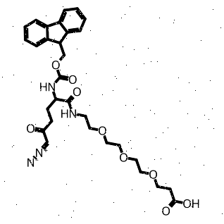 [N-]=[N+]=CC(=O)CCC(NC(=O)OCC1c2ccccc2-c2ccccc21)C(=O)NCCOCCOCCOCCC(=O)O